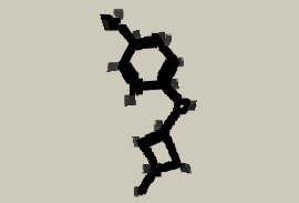 CN1CC(Oc2cnc(Br)cn2)C1